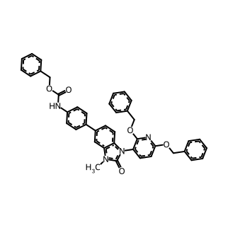 Cn1c(=O)n(-c2ccc(OCc3ccccc3)nc2OCc2ccccc2)c2ccc(-c3ccc(NC(=O)OCc4ccccc4)cc3)cc21